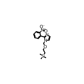 C[Si](C)(C)CCOCn1ccnc1-c1ccccc1[N+](=O)[O-]